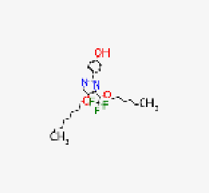 CCCCCCCCOc1cnc(-c2ccc(O)cc2)nc1C(OCCCCCC)C(F)(F)F